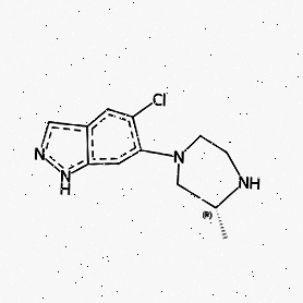 C[C@@H]1CN(c2cc3[nH]ncc3cc2Cl)CCN1